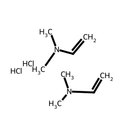 C=CN(C)C.C=CN(C)C.Cl.Cl